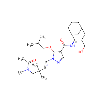 CC(=O)N(C)CC(C)(C)/C=C/n1ncc(C(=O)N[C@@H]2C(CO)CC3CCCC2C3)c1OCC(C)C